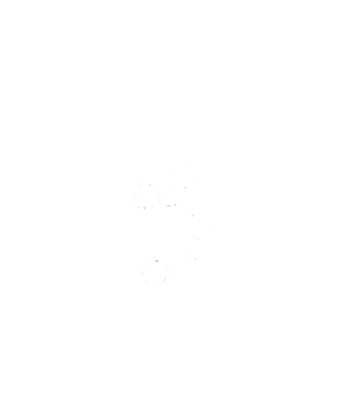 CC1CC2CC(C)(C(=O)N3CCC4(CCN(Cc5ccccc5)C4)C3)CC(c3ccccc3)(C1)C2